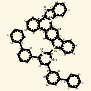 c1ccc(-c2cccc(-c3cc(-c4cccc(-c5ccccc5)c4)nc(-n4c5ccccc5c5cc6c(cc54)c4ccccc4c4nc5ccccc5n64)n3)c2)cc1